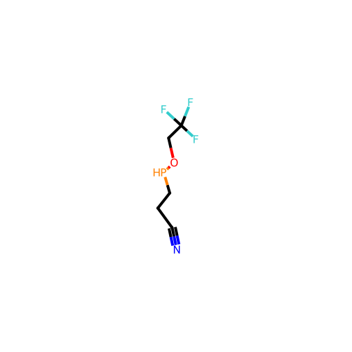 N#CCCPOCC(F)(F)F